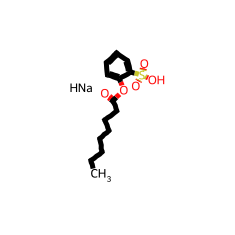 CCCCCCCC(=O)Oc1ccccc1S(=O)(=O)O.[NaH]